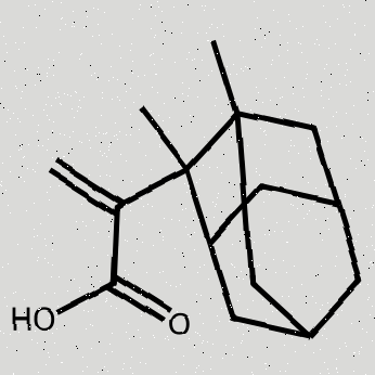 C=C(C(=O)O)C1(C)C2CC3CC(C2)CC1(C)C3